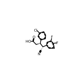 N#C[C@@H](c1ccc(F)c(F)c1)[C@@H](CC(=O)O)c1cccc(Cl)c1